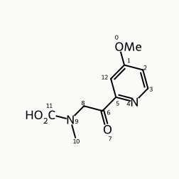 COc1ccnc(C(=O)CN(C)C(=O)O)c1